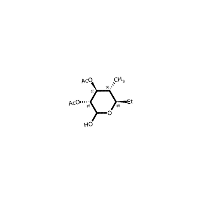 CC[C@H]1OC(O)[C@H](OC(C)=O)[C@@H](OC(C)=O)[C@@H]1C